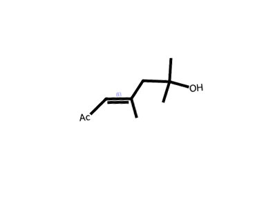 CC(=O)/C=C(\C)CC(C)(C)O